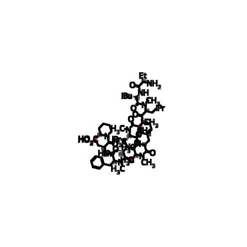 CC[C@H](N)C(=O)N[C@H](C(=O)N(C)[C@@H](CC(C)C)C(=O)N(C)[C@@H](C)C(=O)N(C)[C@@H](CC(C)C)C(=O)N(C)[C@@H](Cc1ccccc1)C(=O)N(C)[C@@H](C)C(=O)N(C)[C@@H](CC(C)C)C(=O)N(C)[C@@H](Cc1ccccc1)C(=O)N[C@@H](CC(=O)O)C(=O)N1CCCC[C@H]1C(=O)O)[C@@H](C)CC